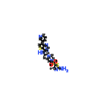 Cc1nc(N)sc1S(=O)(=O)N1CCN(CC(C)Nc2ncnc3c(-c4cccnc4)csc23)CC1